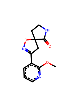 COc1ncccc1C1=NOC2(CCNC2=O)C1